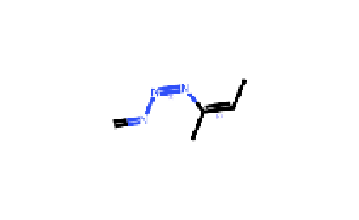 C=N/N=N\C(C)=C/C